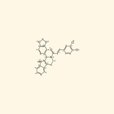 O=C(/C=C/c1ccc(Cl)c(Cl)c1)N1CCc2c([nH]c3ccccc23)C1c1ccc2c(c1)OCO2